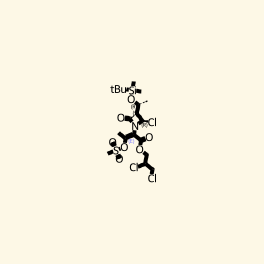 C/C(OS(C)(=O)=O)=C(/C(=O)OCC(Cl)CCl)N1C(=O)[C@H]([C@@H](C)O[Si](C)(C)C(C)(C)C)[C@H]1Cl